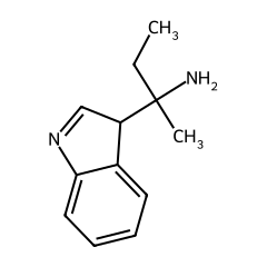 CCC(C)(N)C1C=Nc2ccccc21